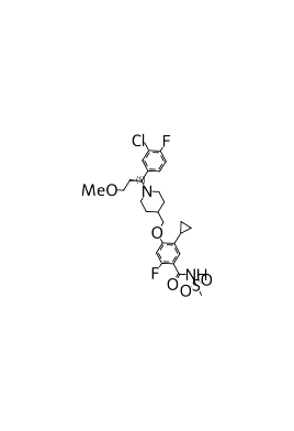 COCC[C@@H](c1ccc(F)c(Cl)c1)N1CCC(COc2cc(F)c(C(=O)NS(C)(=O)=O)cc2C2CC2)CC1